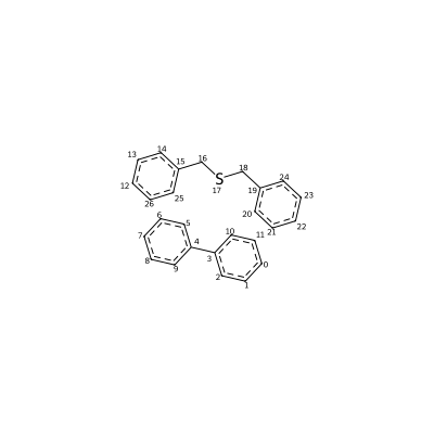 c1ccc(-c2ccccc2)cc1.c1ccc(CSCc2ccccc2)cc1